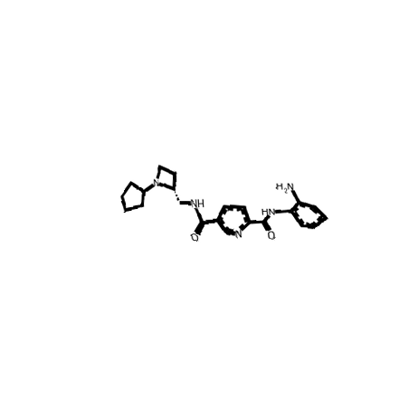 Nc1ccccc1NC(=O)c1ccc(C(=O)NC[C@H]2CCN2C2CCCC2)cn1